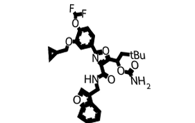 CC(C)(C)CC(OC(N)=O)c1oc(-c2ccc(OC(F)F)c(OCC3CC3)c2)nc1C(=O)NCc1coc2ccccc12